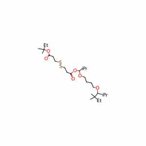 CCC(C)(C)OC(=O)CCSSCCC(=O)OC(OCCCCOC(C(C)C)C(C)(C)CC)C(C)C